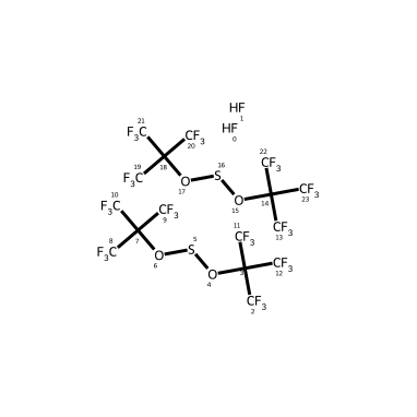 F.F.FC(F)(F)C(OSOC(C(F)(F)F)(C(F)(F)F)C(F)(F)F)(C(F)(F)F)C(F)(F)F.FC(F)(F)C(OSOC(C(F)(F)F)(C(F)(F)F)C(F)(F)F)(C(F)(F)F)C(F)(F)F